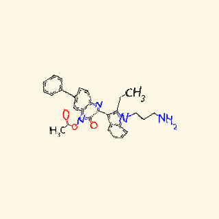 CCc1c(-c2nc3ccc(-c4ccccc4)cc3n(OC(C)=O)c2=O)c2ccccc2n1CCCN